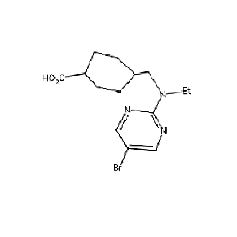 CCN(CC1CCC(C(=O)O)CC1)c1ncc(Br)cn1